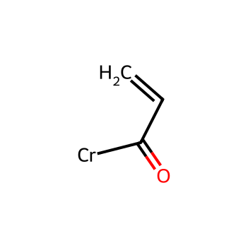 C=C[C](=O)[Cr]